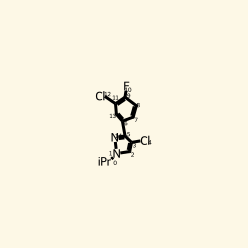 CC(C)n1cc(Cl)c(-c2ccc(F)c(Cl)c2)n1